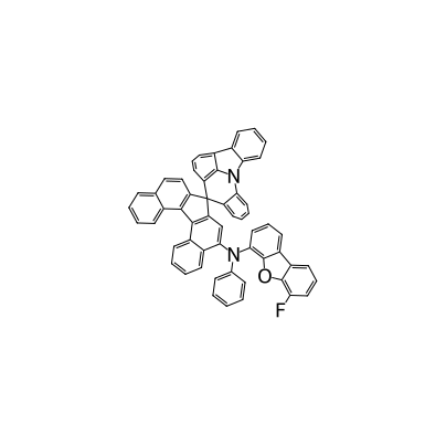 Fc1cccc2c1oc1c(N(c3ccccc3)c3cc4c(c5ccccc35)-c3c(ccc5ccccc35)C43c4ccccc4-n4c5ccccc5c5cccc3c54)cccc12